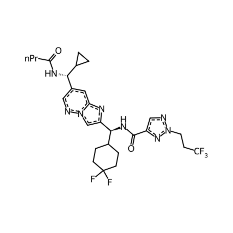 CCCC(=O)N[C@@H](c1cnn2cc([C@@H](NC(=O)c3cnn(CCC(F)(F)F)n3)C3CCC(F)(F)CC3)nc2c1)C1CC1